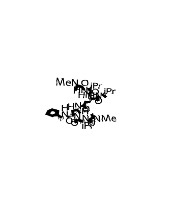 CN[C@@H](C)C(=O)N[C@H](C(=O)N1C[C@@H](NC(=O)CC[C@@H](NC(=O)[C@H](NC(=O)[C@@H](C)NC)C(C)C)C(=O)N[C@@H](C)C(C)C)C[C@H]1C(=O)N[C@H](C)c1ccccc1)C(C)C